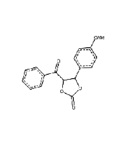 COc1ccc(C2OC(=O)OC2C(=O)c2ccccc2)cc1